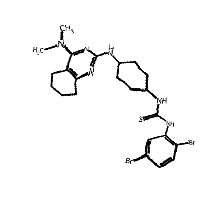 CN(C)c1nc(NC2CCC(NC(=S)Nc3cc(Br)ccc3Br)CC2)nc2c1CCCC2